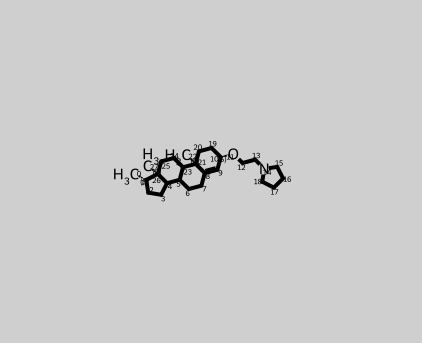 C[C@H]1CCC2C3CCC4=C[C@@H](OCCN5CCCC5)CC[C@]4(C)C3CC[C@@]21C